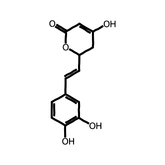 O=C1C=C(O)CC(/C=C/c2ccc(O)c(O)c2)O1